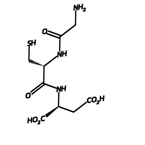 NCC(=O)N[C@@H](CS)C(=O)N[C@@H](CC(=O)O)C(=O)O